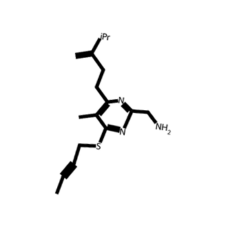 C=C(CCc1nc(CN)nc(SCC#CC)c1C)C(C)C